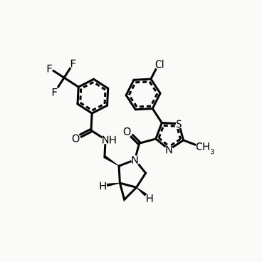 Cc1nc(C(=O)N2C[C@@H]3C[C@@H]3[C@H]2CNC(=O)c2cccc(C(F)(F)F)c2)c(-c2cccc(Cl)c2)s1